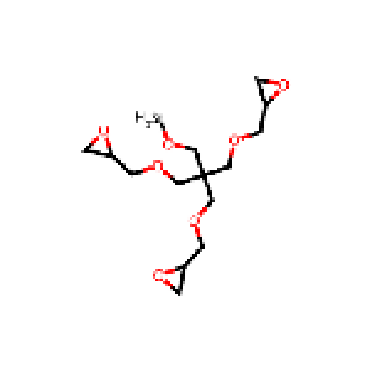 [SiH3]OCC(COCC1CO1)(COCC1CO1)COCC1CO1